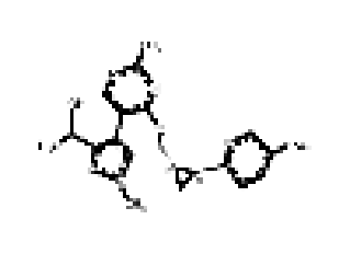 COc1ccc([C@H]2C[C@@H]2COc2nc(C)ncc2-c2cn(C)nc2C(C)O)nc1